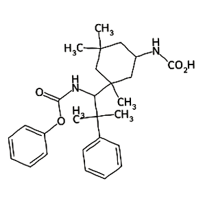 CC1(C)CC(NC(=O)O)CC(C)(C(NC(=O)Oc2ccccc2)C(C)(C)c2ccccc2)C1